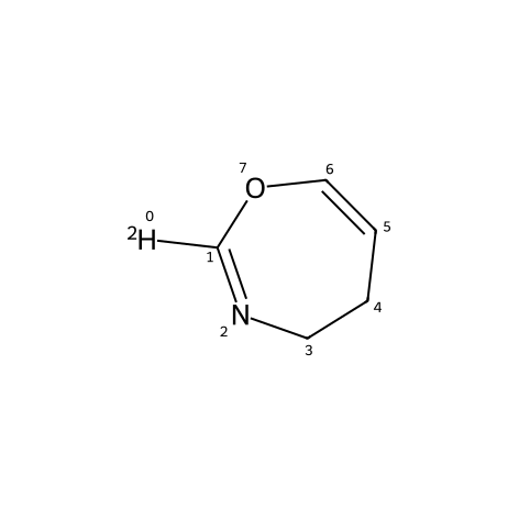 [2H]C1=NCCC=CO1